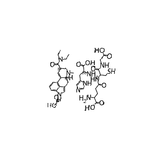 CCN(CC)C(=O)[C@@H]1C=C2c3cccc4[nH]cc(c34)C[C@H]2N(C)C1.NC(CCC(=O)NC(CS)C(=O)NCC(=O)O)C(=O)O.N[C@@H](Cc1cnc[nH]1)C(=O)O.O=PO